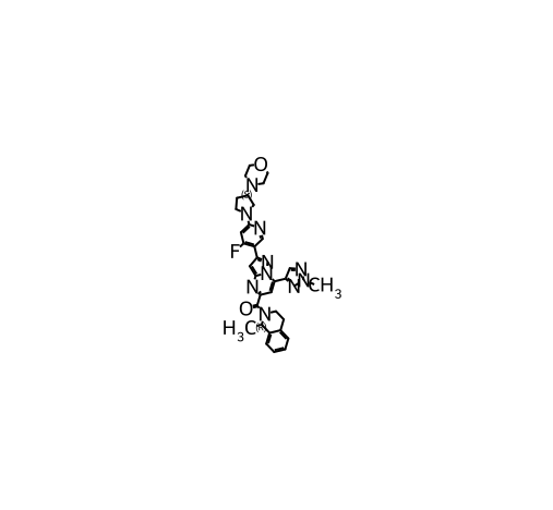 C[C@@H]1c2ccccc2CCN1C(=O)c1cc(-c2cnn(C)n2)n2nc(-c3cnc(N4CC[C@H](N5CCOCC5)C4)cc3F)cc2n1